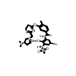 COc1c(NC(=O)c2ccc(C)c(Oc3ccnc(CN4CC[C@@H](N(C)C)C4)n3)c2)cc(C(C)(C)C)cc1NS(C)(=O)=O